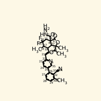 CC(=O)C1(C)OC(=O)C2(C(=O)NN)CC(F)(F)C(C)C(C=Cc3ccc(-c4cccc(C)c4C#N)cn3)C12